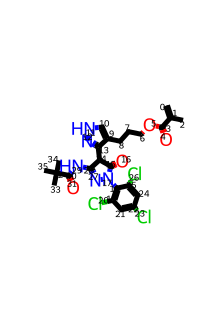 C=C(C)C(=O)OCCCc1c[nH]nc1C1C(=O)N(c2c(Cl)cc(Cl)cc2Cl)N=C1NC(=O)C(C)(C)C